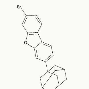 Brc1ccc2c(c1)oc1cc(C34CC5CC(CC(C5)C3)C4)ccc12